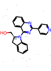 OC[C@@H]1Cc2ccccc2N1c1nc(-c2ccncc2)nc2ccccc12